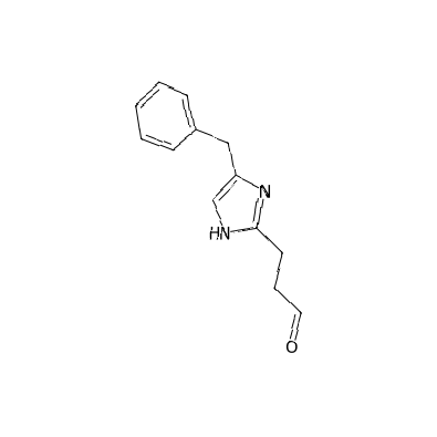 O=CCCc1nc(Cc2ccccc2)c[nH]1